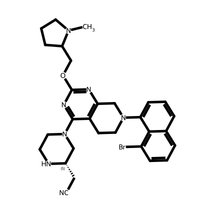 CN1CCCC1COc1nc2c(c(N3CCN[C@@H](CC#N)C3)n1)CCN(c1cccc3cccc(Br)c13)C2